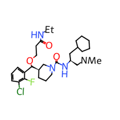 CCNC(=O)CCOC(c1cccc(Cl)c1F)[C@@H]1CCCN(C(=O)N[C@H](CNC)CC2CCCCC2)C1